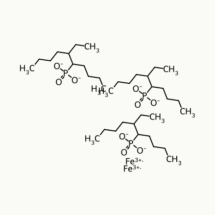 CCCCC(CC)C(CCCC)P(=O)([O-])[O-].CCCCC(CC)C(CCCC)P(=O)([O-])[O-].CCCCC(CC)C(CCCC)P(=O)([O-])[O-].[Fe+3].[Fe+3]